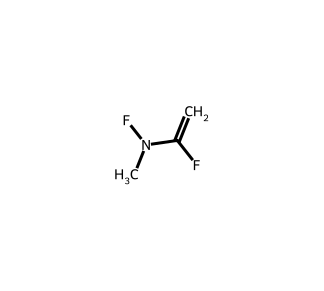 C=C(F)N(C)F